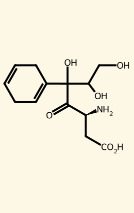 N[C@@H](CC(=O)O)C(=O)C(O)(C1=CCC=CC1)C(O)CO